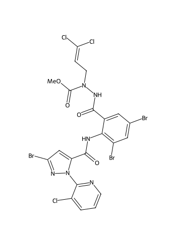 COC(=O)N(CC=C(Cl)Cl)NC(=O)c1cc(Br)cc(Br)c1NC(=O)c1cc(Br)nn1-c1ncccc1Cl